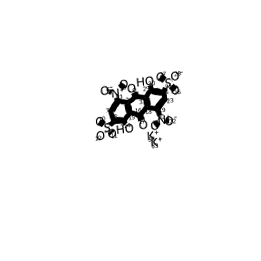 O=C1c2c([N+](=O)[O-])cc(S(=O)(=O)[O-])c(O)c2C(=O)c2c([N+](=O)[O-])cc(S(=O)(=O)[O-])c(O)c21.[K+].[K+]